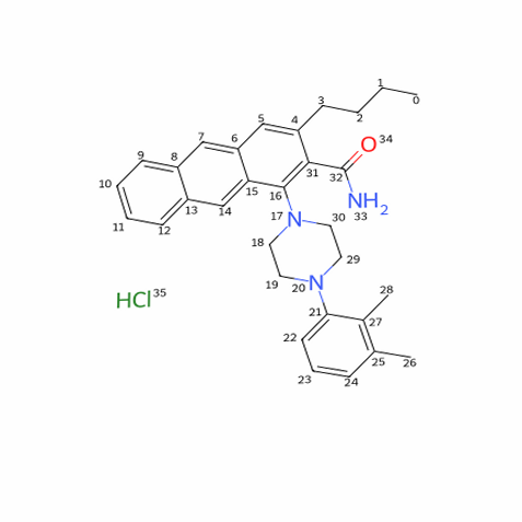 CCCCc1cc2cc3ccccc3cc2c(N2CCN(c3cccc(C)c3C)CC2)c1C(N)=O.Cl